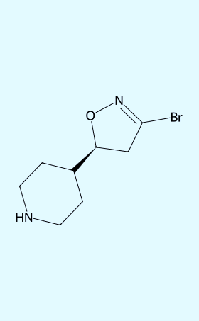 BrC1=NO[C@H](C2CCNCC2)C1